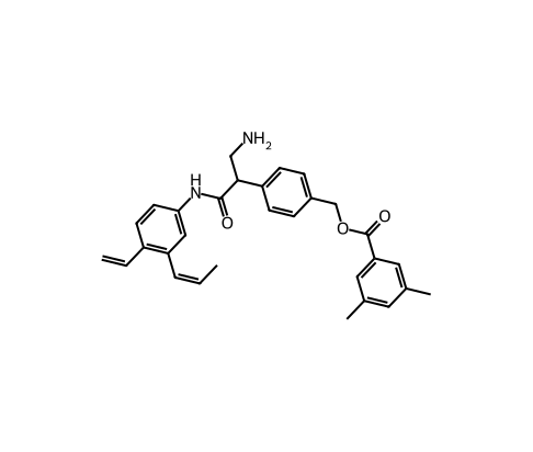 C=Cc1ccc(NC(=O)C(CN)c2ccc(COC(=O)c3cc(C)cc(C)c3)cc2)cc1/C=C\C